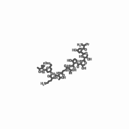 CCCCCCCCCCCCCC(CC(=O)NC1(C(C)O)C#C1)OC(=O)C(CCCN)NC(=O)C(NC(=O)CNC(=O)C(NC(=O)C1C(O)CCN1C(=O)C(NC(=O)C(NC(=O)C1CC(O)CN1C(=O)C(N)C(C)C)C(C)O)C(C)O)C(O)CC)C(C)O